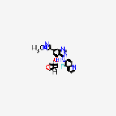 Cn1cc(-c2cc(OC[C@]34CC[C@H]3COC4)c3c(Nc4ccc5ncccc5c4F)ncnc3c2)cn1